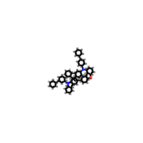 CC1(C)c2ccccc2-c2cc(N(c3ccc(-c4ccccc4)cc3)c3cccc4oc5ccc(-c6ccc7c(c6)c6ccccc6n7-c6cccc(-c7ccccc7)c6)cc5c34)ccc21